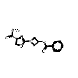 COC(=O)[C@@H]1COC(N2CC(OC(=O)c3ccccc3)C2)=N1